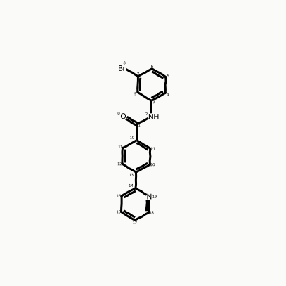 O=C(Nc1cccc(Br)c1)c1ccc(-c2ccccn2)cc1